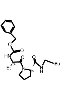 CCC(C)CNC(=O)[C@@H]1CCCN1C(=O)[C@H](CC)NC(=O)OCc1ccccc1